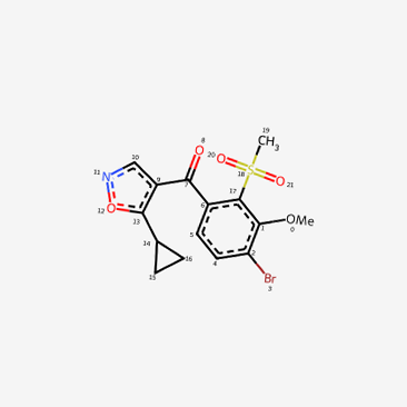 COc1c(Br)ccc(C(=O)c2cnoc2C2CC2)c1S(C)(=O)=O